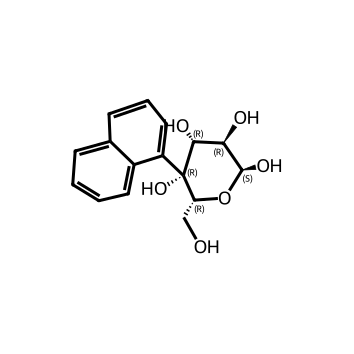 OC[C@H]1O[C@H](O)[C@H](O)[C@@H](O)[C@]1(O)c1cccc2ccccc12